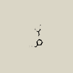 COCC(COc1cccc(CO)c1)OC